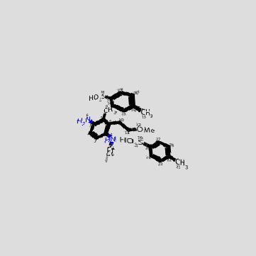 CCNc1ccc(N)c(C)c1CCOC.Cc1ccc(S(=O)(=O)O)cc1.Cc1ccc(S(=O)(=O)O)cc1